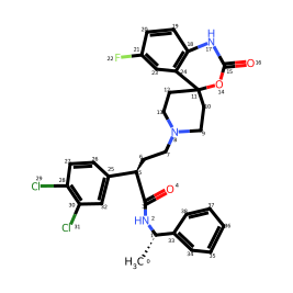 C[C@H](NC(=O)[C@H](CCN1CCC2(CC1)OC(=O)Nc1ccc(F)cc12)c1ccc(Cl)c(Cl)c1)c1ccccc1